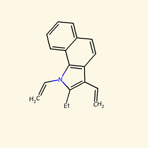 C=Cc1c(CC)n(C=C)c2c1ccc1ccccc12